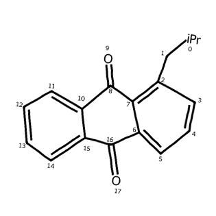 CC(C)Cc1cccc2c1C(=O)c1ccccc1C2=O